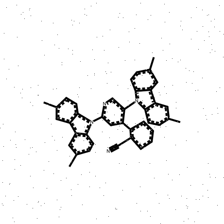 Cc1ccc2c(c1)c1cc(C)ccc1n2-c1cc(-c2ccccc2C#N)c(-n2c3ccc(C)cc3c3cc(C)ccc32)cn1